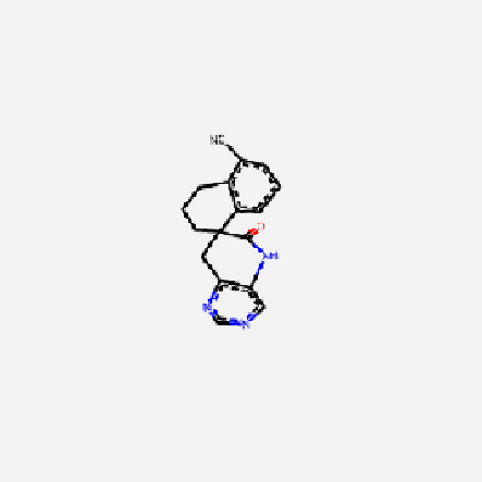 N#Cc1cccc2c1CCCC21Cc2ncncc2NC1=O